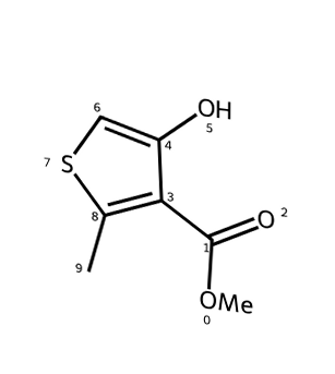 COC(=O)c1c(O)csc1C